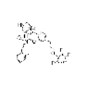 Cc1ccccc1CCN(C(=O)C1=C(c2ccc(CCCOc3c(F)ccc(F)c3F)cc2)CC2CNC[C@H]1N2)C1CC1